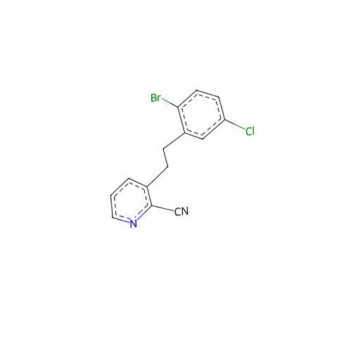 N#Cc1ncccc1CCc1cc(Cl)ccc1Br